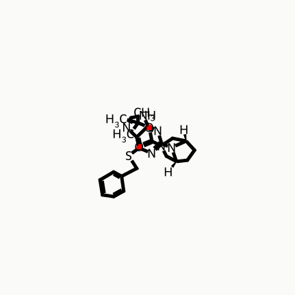 CC(C)(C)OC(=O)N1C[C@H]2CC[C@@H](C1)N2c1nc(SCc2ccccc2)c2nc[nH]c2n1